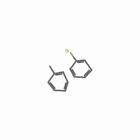 Brc1ccccc1.Cc1ccccc1